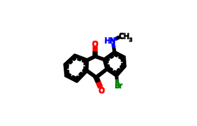 CNc1ccc(Br)c2c1C(=O)c1ccccc1C2=O